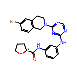 O=C(Nc1cccc(Nc2ncnc(N3CCc4cc(Br)ccc4C3)n2)c1)[C@@H]1CCCO1